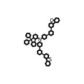 c1ccc(C2(c3ccccc3)c3ccccc3-c3c(N(c4ccc(-c5cccc(-c6ccc7oc8ccccc8c7c6)c5)cc4)c4ccc(-c5cccc(-c6ccc7sc8ccccc8c7c6)c5)cc4)cccc32)cc1